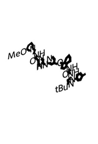 COC1CCCN(CCNC(=O)c2cnc(Nc3cc(COc4ccc(NC(=O)Nc5cc(C(C)(C)C)nn5-c5ccc(C)cc5)c5ccccc45)ccn3)cn2)C1